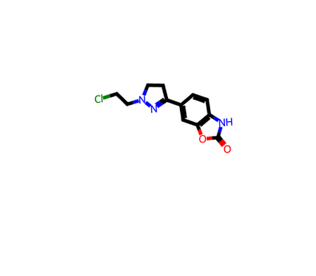 O=c1[nH]c2ccc(C3=NN(CCCl)CC3)cc2o1